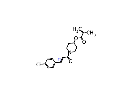 C=C(C)C(=O)OC1CCN(C(=O)/C=C/c2ccc(Cl)cc2)CC1